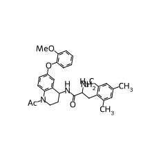 COc1ccccc1Oc1ccc2c(c1)C(NC(=O)C(N)Cc1c(C)cc(C)cc1C)CCN2C(C)=O